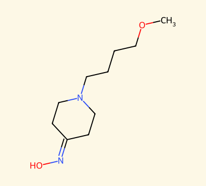 COCCCCN1CCC(=NO)CC1